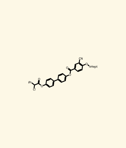 CCCCCCCOc1ccc(C(=O)Oc2ccc(-c3ccc(OC(=O)C(Cl)C(C)C)cc3)cc2)cc1C#N